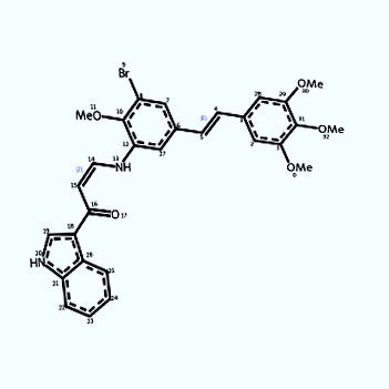 COc1cc(/C=C/c2cc(Br)c(OC)c(N/C=C\C(=O)c3c[nH]c4ccccc34)c2)cc(OC)c1OC